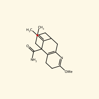 C/C=C1\C2CC3=C(CCC(OC)=N3)C1(C(N)=O)CC(C)C2